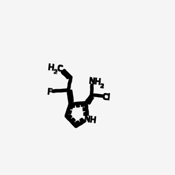 C=C/C(F)=c1/cc[nH]/c1=C(/N)Cl